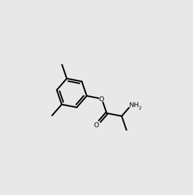 Cc1cc(C)cc(OC(=O)C(C)N)c1